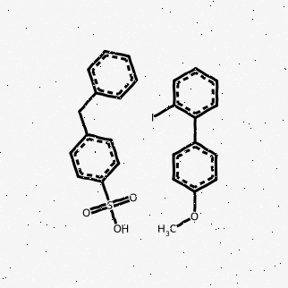 COc1ccc(-c2ccccc2I)cc1.O=S(=O)(O)c1ccc(Cc2ccccc2)cc1